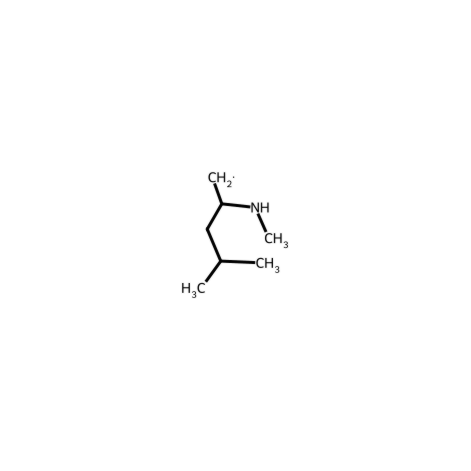 [CH2]C(CC(C)C)NC